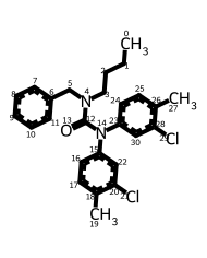 CCCCN(Cc1ccccc1)C(=O)N(c1ccc(C)c(Cl)c1)c1ccc(C)c(Cl)c1